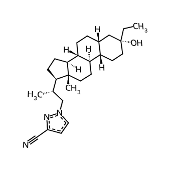 CC[C@@]1(O)CC[C@H]2[C@H](CC[C@@H]3[C@@H]2CC[C@]2(C)[C@@H]([C@@H](C)Cn4ccc(C#N)n4)CC[C@@H]32)C1